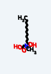 CCCCCCCCCCCC(O)N(C)CC(=O)O